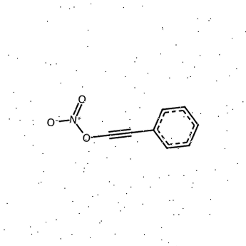 O=[N+]([O-])OC#Cc1ccccc1